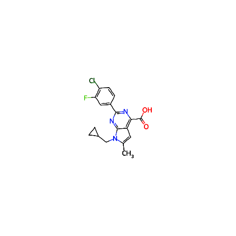 Cc1cc2c(C(=O)O)nc(-c3ccc(Cl)c(F)c3)nc2n1CC1CC1